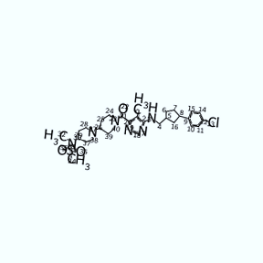 Cc1c(NCC2CCC(c3ccc(Cl)cc3)C2)ncnc1C(=O)N1CCC(N2CCC(N(C)S(C)(=O)=O)CC2)CC1